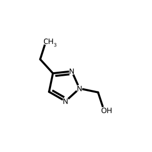 CCc1cnn(CO)n1